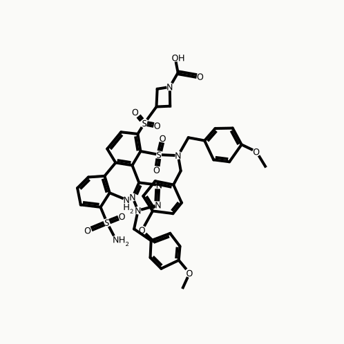 COc1ccc(CN(Cc2ccc(OC)cc2)S(=O)(=O)c2c(S(=O)(=O)C3CN(C(=O)O)C3)ccc(-c3cccc(S(N)(=O)=O)c3N)c2-c2nnn(Cc3ccc(OC)cc3)n2)cc1